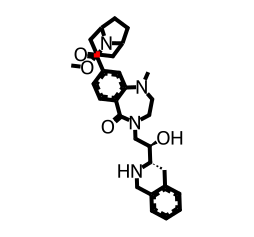 COC1CC2CCC(C1)N2C(=O)c1ccc2c(c1)N(C)CCN(C[C@@H](O)[C@@H]1Cc3ccccc3CN1)C2=O